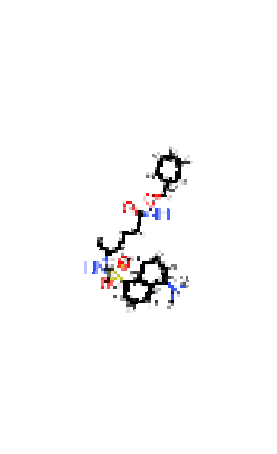 CC(CCCC(=O)NOCc1ccccc1)NS(=O)(=O)c1cccc2c(N(C)C)cccc12